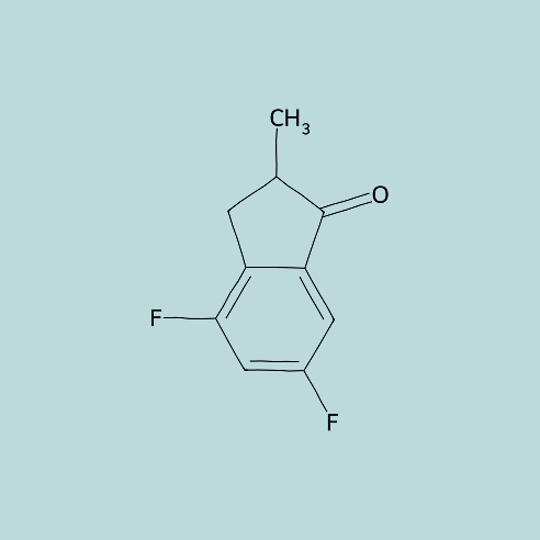 CC1Cc2c(F)cc(F)cc2C1=O